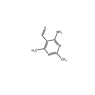 Cc1nc(C)c(C=S)c(N)n1